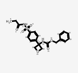 CCC(=O)NS(=O)(=O)c1ccc(C2(NC(=O)OCc3ccccc3)COC2)cc1